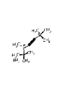 B.C[P@](C#C[Si](C)(C)C)C(C)(C)C